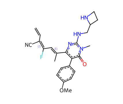 C=C/C(C#N)=C(F)\C=C(/C)c1nc(NCC2CCN2)n(C)c(=O)c1-c1ccc(OC)cc1